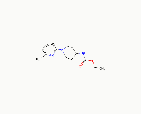 CCOC(=O)NC1CCN(c2cccc(C)n2)CC1